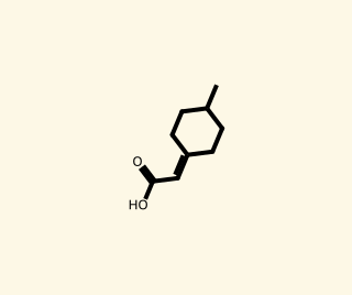 CC1CCC(=CC(=O)O)CC1